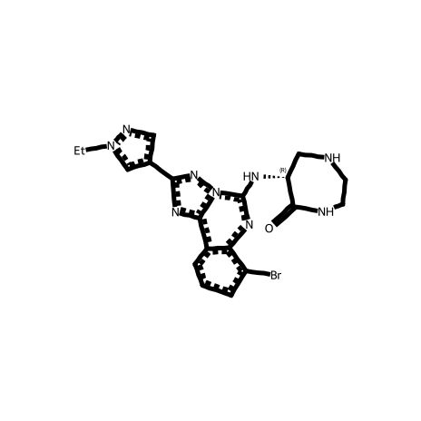 CCn1cc(-c2nc3c4cccc(Br)c4nc(N[C@@H]4CNCCNC4=O)n3n2)cn1